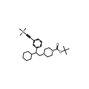 CC(C)(C)OC(=O)N1CCN(CC(c2cccc(C#C[Si](C)(C)C)c2)C2CCCCC2)CC1